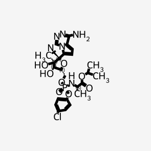 CC(C)OC(=O)[C@H](C)NP(=O)(OC[C@H]1O[C@@](C#N)(c2ccc3c(N)nncn23)[C@](C)(O)[C@@H]1O)Oc1ccc(Cl)cc1